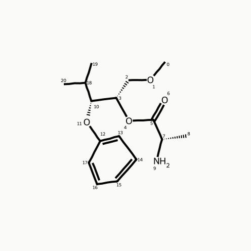 COC[C@H](OC(=O)[C@H](C)N)[C@H](Oc1ccccc1)C(C)C